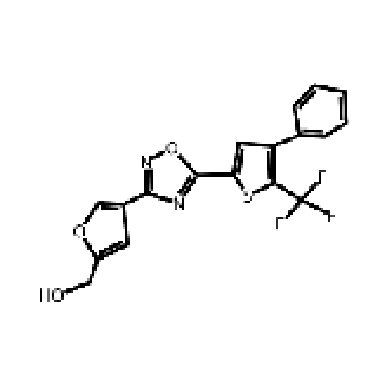 OCc1cc(-c2noc(-c3cc(-c4ccccc4)c(C(F)(F)F)s3)n2)co1